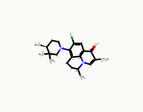 CC(=O)O[C@H]1CCN(c2c(F)cc3c(=O)c(C(=O)O)cn4c3c2CCC4C)CC1(C)C